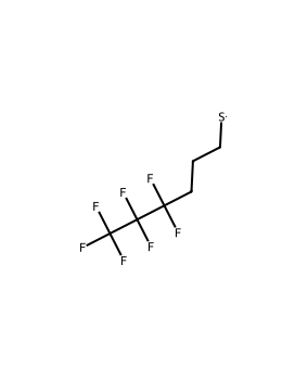 FC(F)(F)C(F)(F)C(F)(F)CCC[S]